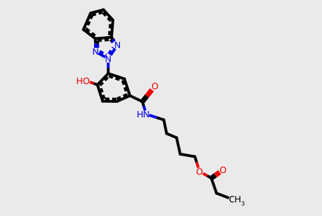 CCC(=O)OCCCCCNC(=O)c1ccc(O)c(-n2nc3ccccc3n2)c1